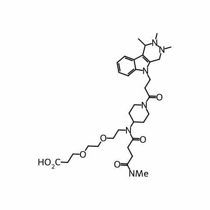 CNC(=O)CCC(=O)N(CCOCCOCCC(=O)O)C1CCN(C(=O)CCn2c3c(c4ccccc42)C(C)N(C)N(C)C3)CC1